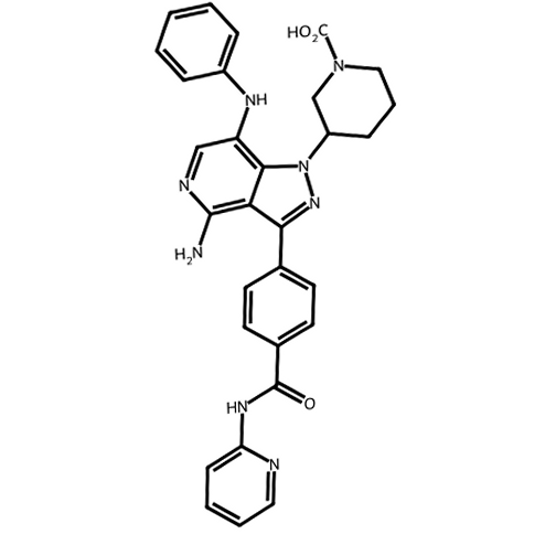 Nc1ncc(Nc2ccccc2)c2c1c(-c1ccc(C(=O)Nc3ccccn3)cc1)nn2C1CCCN(C(=O)O)C1